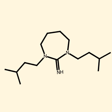 CC(C)CCN1CCCCN(CCC(C)C)C1=N